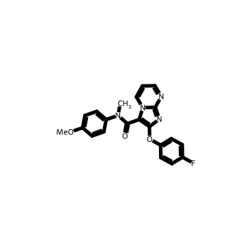 COc1ccc(N(C)C(=O)c2c(Oc3ccc(F)cc3)nc3ncccn23)cc1